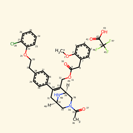 COc1ccccc1CC(=O)OCC1=C(c2ccc(CCOc3ccccc3Cl)cc2)C[C@@H]2CN(C(C)=O)C[C@H]1N2.O=C(O)C(F)(F)F